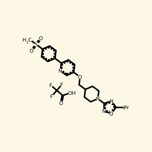 CC(C)c1nc(N2CCC(COc3ccc(-c4ccc(S(C)(=O)=O)cc4)nc3)CC2)no1.O=C(O)C(F)(F)F